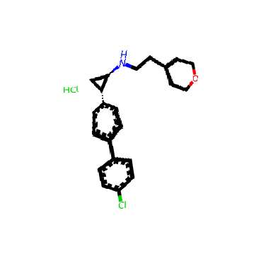 Cl.Clc1ccc(-c2ccc([C@@H]3C[C@H]3NCCC3CCOCC3)cc2)cc1